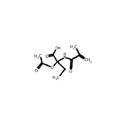 C=C(C)C(=O)NC(CC)(OC(C)=O)C(=O)O